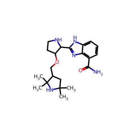 CC1(C)CC(COC2CCNC2c2nc3c(C(N)=O)cccc3[nH]2)C(C)(C)N1